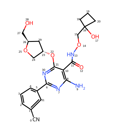 N#Cc1cccc(-c2nc(N)c(C(=O)NOCC3(O)CCC3)c(O[C@@H]3CO[C@@H](CO)C3)n2)c1